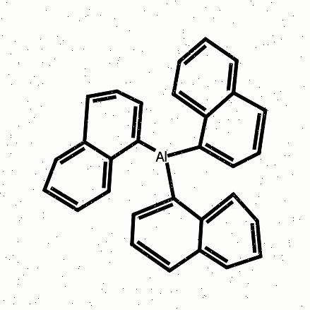 c1ccc2[c]([Al]([c]3cccc4ccccc34)[c]3cccc4ccccc34)cccc2c1